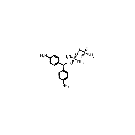 CC(c1ccc(N)cc1)c1ccc(N)cc1.NS(N)(=O)=O.NS(N)(=O)=O